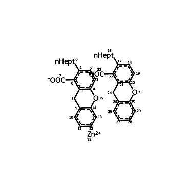 CCCCCCCc1ccc2c(c1C(=O)[O-])Cc1ccccc1O2.CCCCCCCc1ccc2c(c1C(=O)[O-])Cc1ccccc1O2.[Zn+2]